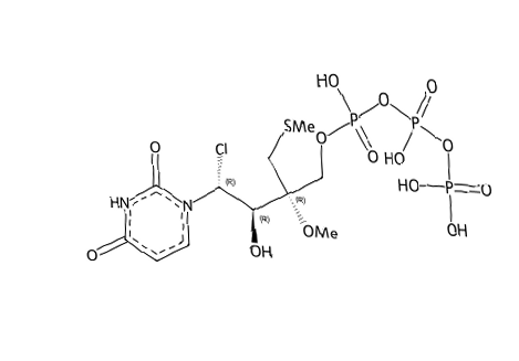 CO[C@@](COP(=O)(O)OP(=O)(O)OP(=O)(O)O)(CSC)[C@@H](O)[C@@H](Cl)n1ccc(=O)[nH]c1=O